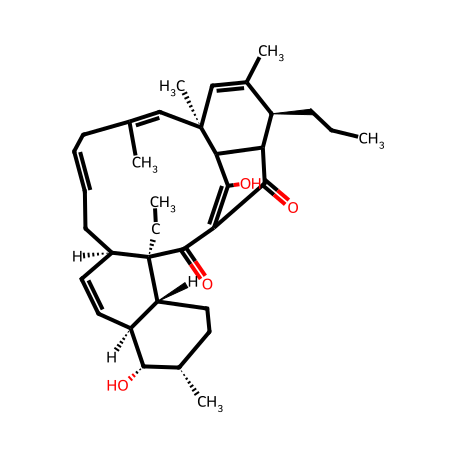 CCC[C@@H]1C(C)=C[C@]2(C)/C=C(\C)C/C=C/C[C@@H]3C=C[C@@H]4[C@@H](O)[C@@H](C)CC[C@H]4[C@]3(CC)C(=O)C3=C(O)C2C1C3=O